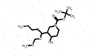 CCCCC(OCOC)C1CN(C(=O)OC(C)(C)C)CCC1O